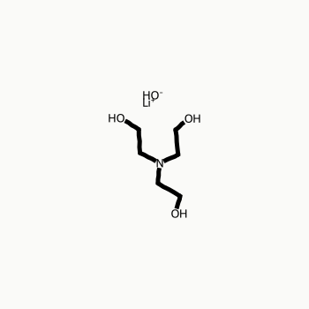 OCCN(CCO)CCO.[Li+].[OH-]